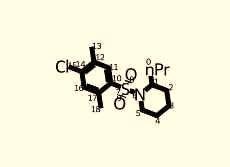 CCCC1CCCCN1S(=O)(=O)c1cc(C)c(Cl)cc1C